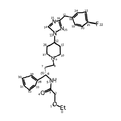 CCOCC(=O)N[C@@H](CCN1CCC(n2cnc(Cc3ccc(F)cc3)n2)CC1)c1ccccc1